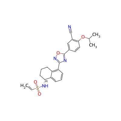 C=CS(=O)(=O)N[C@@H]1CCCc2c(-c3noc(-c4ccc(OC(C)C)c(C#N)c4)n3)cccc21